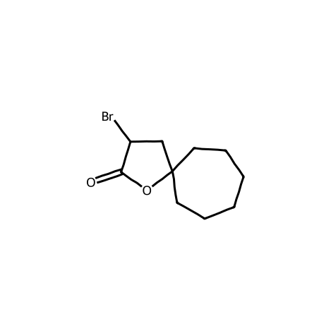 O=C1OC2(CCCCCC2)CC1Br